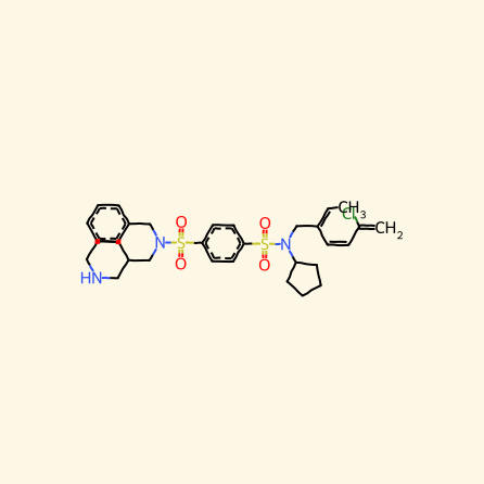 C=C(Cl)/C=C\C(=C/C)CN(C1CCCC1)S(=O)(=O)c1ccc(S(=O)(=O)N(Cc2ccccc2)CC2CCCNC2)cc1